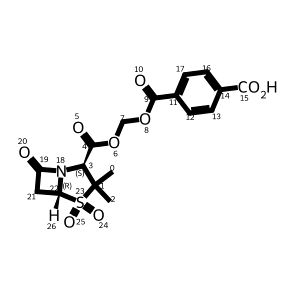 CC1(C)[C@H](C(=O)OCOC(=O)c2ccc(C(=O)O)cc2)N2C(=O)C[C@H]2S1(=O)=O